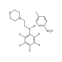 Cc1ccc(S(=O)(=O)O)cc1.[O-][S+](CCN1CCOCC1)c1c(F)c(F)c(F)c(F)c1F